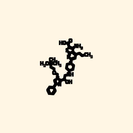 CCCc1cc(N2CCC(NCC(O)c3nc(-c4ccccc4)cn3COCC[Si](C)(C)C)CC2)nc2sc(C(=O)O)c(N)c12